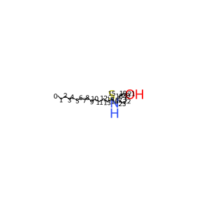 CCCCCCCCCCCCCCC(=S)Nc1ccc(O)cc1